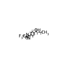 CC=CCC(O)c1ccc(-c2noc(C(F)(F)F)n2)cc1